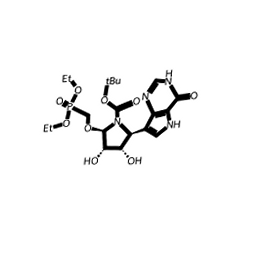 CCOP(=O)(CO[C@@H]1[C@@H](O)[C@@H](O)[C@H](c2c[nH]c3c(=O)[nH]cnc23)N1C(=O)OC(C)(C)C)OCC